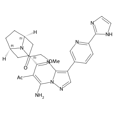 COCC(=O)N1[C@@H]2CC[C@H]1C[C@H](c1nc3c(-c4ccc(-c5ncc[nH]5)nc4)cnn3c(N)c1C(C)=O)C2